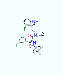 CN(C)c1nc(C(=O)N(CCc2c[nH]c3cccc(F)c23)CC2CC2)c(-c2cccc(F)c2)s1